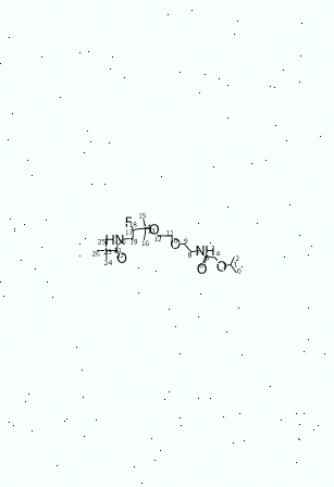 CC(C)OCC(=O)NCCOCCOC(C)(C)C(F)CNC(=O)C(C)(C)C